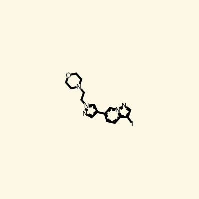 Ic1cnn2cc(-c3cnn(CCN4CCOCC4)c3)ccc12